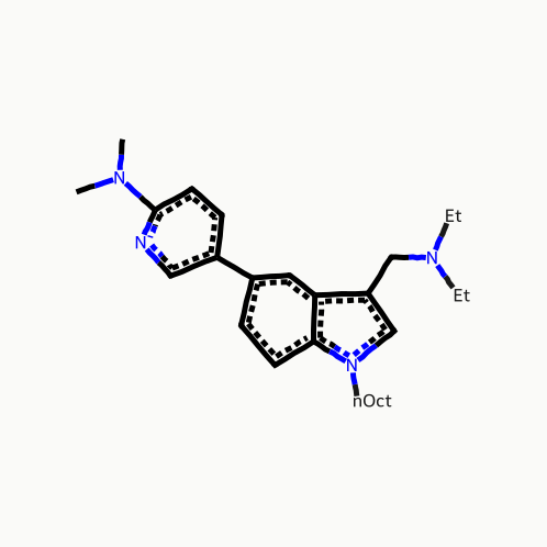 CCCCCCCCn1cc(CN(CC)CC)c2cc(-c3ccc(N(C)C)nc3)ccc21